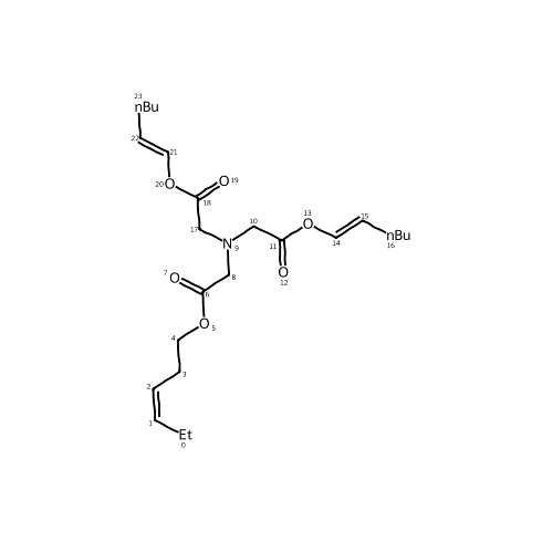 CC/C=C\CCOC(=O)CN(CC(=O)OC=CCCCC)CC(=O)OC=CCCCC